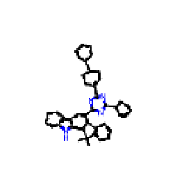 CC1(C)c2ccccc2-c2c(-c3nc(-c4ccccc4)nc(-c4ccc(-c5ccccc5)cc4)n3)cc3c([nH]c4ccccc43)c21